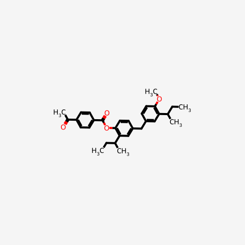 CCC(C)c1cc(Cc2ccc(OC(=O)c3ccc(C(C)=O)cc3)c(C(C)CC)c2)ccc1OC